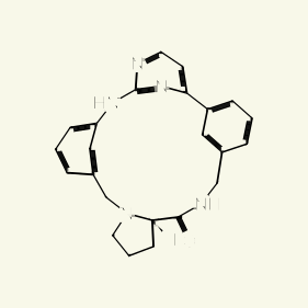 O=C1NCc2cccc(c2)-c2ccnc(n2)Nc2cccc(c2)CN2CCC[C@@H]12